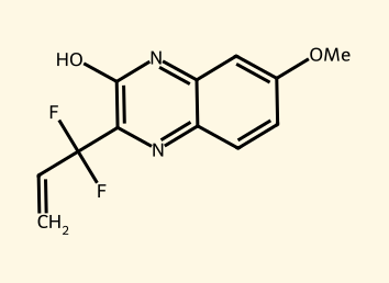 C=CC(F)(F)c1nc2ccc(OC)cc2nc1O